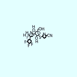 N#Cc1ccc(SC2OC(CO)C(O)C(N(N)/C=C(\N)c3cc(F)c(F)c(F)c3)C2O)cn1